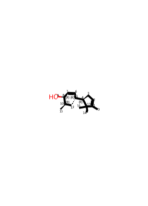 CC1=CC[C@H]([C@H]2C=C[C@H](O)[C@H](C)C2)C1(C)C